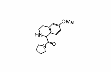 COc1ccc2c(c1)CCNC2C(=O)N1CCCC1